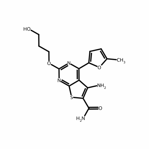 Cc1ccc(-c2nc(OCCCO)nc3sc(C(N)=O)c(N)c23)o1